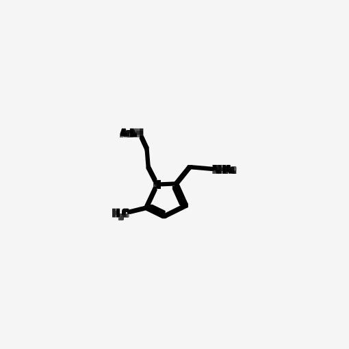 CC(=O)NCCn1c(C)ccc1CNC(C)=O